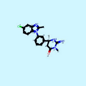 Cc1nc2cc(Cl)ccc2n1-c1cccc([C@]2(C)CC(=O)N(C)C(=N)N2)c1